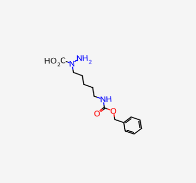 NN(CCCCCNC(=O)OCc1ccccc1)C(=O)O